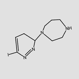 IC1=CCC(N2CCCNCC2)N=N1